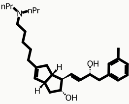 CCCN(CCC)CCCCCC1=C[C@H]2C[C@@H](O)[C@H](/C=C/[C@H](O)Cc3cccc(C)c3)[C@H]2C1